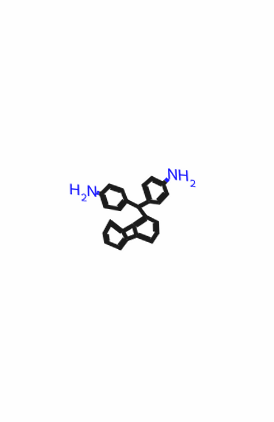 Nc1ccc(C(c2ccc(N)cc2)c2cccc3c2-c2ccccc2-3)cc1